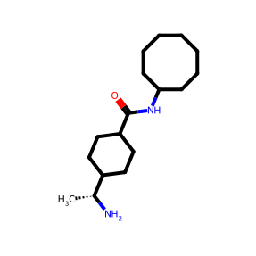 C[C@@H](N)C1CCC(C(=O)NC2CCCCCCC2)CC1